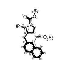 CCOC(=O)C[C@H]1CN(C(=O)OC(C)C)N(C(C)C)[C@@H]1Cc1ccc2ccccc2c1